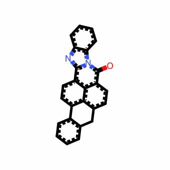 O=c1c2ccc3c4c(ccc(c42)c2nc4ccccc4n12)-c1ccccc1C3